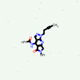 CC#CCCn1ncc2c(NC(=O)CCC)c3c(nc21)CN(CCC)C3=O